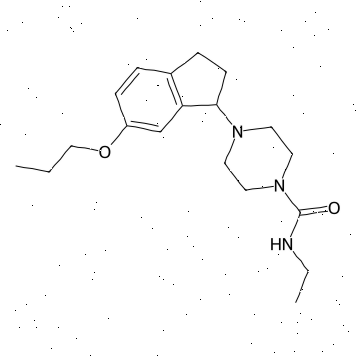 CCCOc1ccc2c(c1)C(N1CCN(C(=O)NCC)CC1)CC2